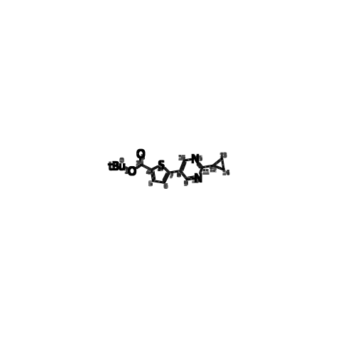 CC(C)(C)OC(=O)c1ccc(-c2cnc(C3CC3)nc2)s1